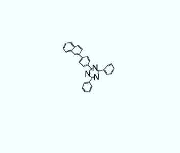 c1ccc(-c2nc(-c3ccccc3)nc(-c3ccc(-c4ccc5ccccc5c4)cc3)n2)cc1